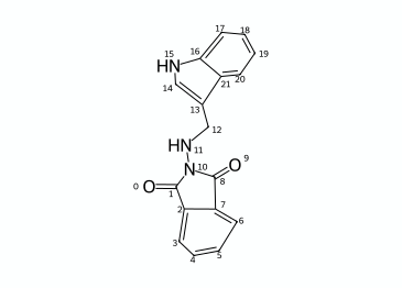 O=C1c2ccccc2C(=O)N1NCc1c[nH]c2ccccc12